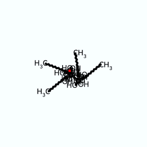 CCCCCCCCCCC[C@@H](O)CC(=O)N[C@@H]1[C@H](OC[C@H]2O[C@H](OP(=O)(O)O)[C@H](OC(=O)C[C@H](O)CCCCCCCCCCC)[C@@H](OC(=O)C[C@H](O)CCCCCCCCCCC)[C@@H]2O)O[C@H](CO)[C@@H](O)[C@@H]1OC(=O)C[C@H](O)CCCCCCCCCCC